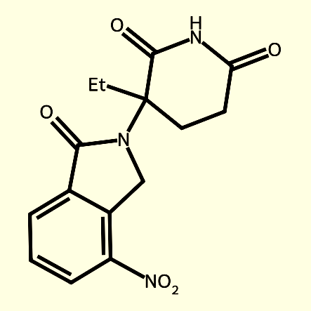 CCC1(N2Cc3c(cccc3[N+](=O)[O-])C2=O)CCC(=O)NC1=O